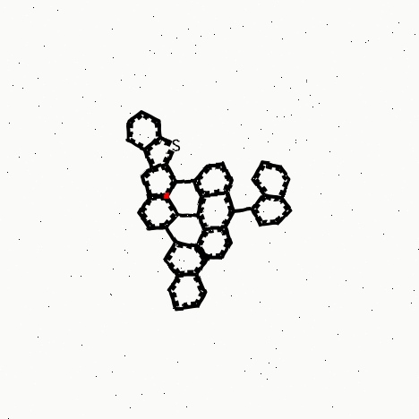 c1ccc(-c2c3ccccc3c(-c3cccc4ccccc34)c3cccc(-c4cccc5c4sc4ccccc45)c23)c(-c2ccc3ccccc3c2)c1